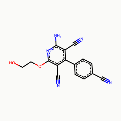 N#Cc1ccc(-c2c(C#N)c(N)nc(OCCO)c2C#N)cc1